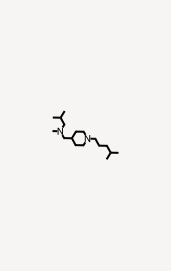 CC(C)CCCN1CCC(CN(C)CC(C)C)CC1